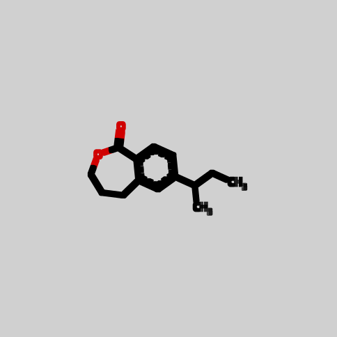 CCC(C)c1ccc2c(c1)CCCOC2=O